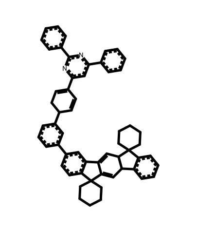 C1=CC(c2cccc(-c3ccc4c(c3)C3=CC5C(C=C3C43CCCCC3)c3ccccc3C53CCCCC3)c2)CC=C1c1cc(-c2ccccc2)nc(-c2ccccc2)n1